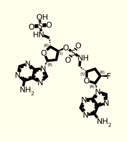 Nc1ncnc2c1ncn2[C@@H]1O[C@H](CNS(=O)(=O)O[C@H]2C[C@H](n3cnc4c(N)ncnc43)O[C@@H]2CNS(=O)(=O)O)C[C@H]1F